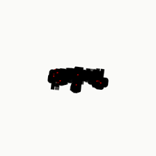 COC(=O)NC(C(=O)N1CCC[C@H]1c1nc2cc([C@H]3CC[C@H](c4ccc5[nH]c([C@@H]6CCCN6C(=O)[C@@H](NC(=O)OC)C(C)C)nc5c4)N3c3ccc(N4CCCCC4)c(F)c3)ccc2[nH]1)C(C)C